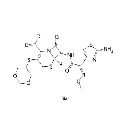 CO/N=C(\C(=O)NC1C(=O)N2C(C(=O)[O-])=C(SC3COCOC3)CS[C@H]12)c1csc(N)n1.[Na+]